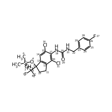 C[Si](C)(C)OC1(C(F)(F)F)CCc2c1cc(Cl)c(NC(=O)NCc1ccc(F)cc1)c2Cl